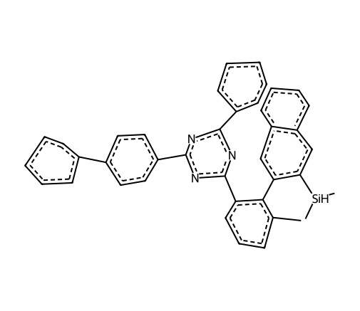 Cc1cccc(-c2nc(-c3ccccc3)nc(-c3ccc(-c4ccccc4)cc3)n2)c1-c1cc2ccccc2cc1[SiH](C)C